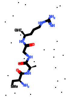 CSC[C@H](N)C(=O)N[C@@H](C)C(=O)NCC(=O)N[C@@H](C=O)CCCNC(=N)N